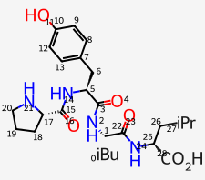 CC[C@H](C)[C@H](NC(=O)[C@H](Cc1ccc(O)cc1)NC(=O)[C@@H]1CCCN1)C(=O)N[C@@H](CC(C)C)C(=O)O